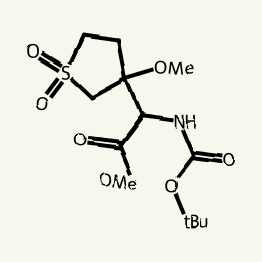 COC(=O)C(NC(=O)OC(C)(C)C)C1(OC)CCS(=O)(=O)C1